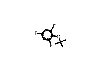 CC(C)(C)Oc1c(F)cc(F)cc1F